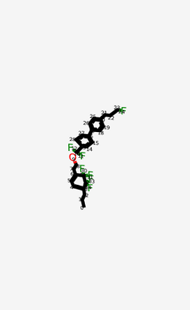 CCCC1=CC=C(CCOC(F)(F)c2ccc(-c3ccc(CCCF)cc3)cc2)C(F)(F)C1(F)F